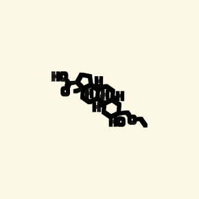 CCOC[C@@]1(O)CC[C@H]2[C@H](CC[C@@H]3[C@@H]2CC[C@]2(C)[C@@H](C(=O)O)CC[C@@H]32)C1